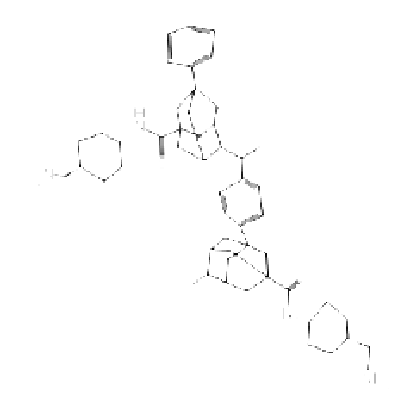 CC(c1ccc(C23CC4CC(C(=S)N[C@H]5CC[C@H](CN)CC5)(CC(C2)C4C)C3)cc1)C1C2CC3(C(=S)N[C@H]4CC[C@H](CN)CC4)CC1CC(c1ccccc1)(C2)C3